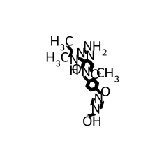 CCC[C@@H](C)Nc1nc(N)nc2ccn(Cc3ccc(C(=O)N4CCN(CCO)CC4)cc3OC)c(=O)c12